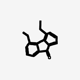 CCc1cccc2c1-c1c(CC)cccc1C2=O